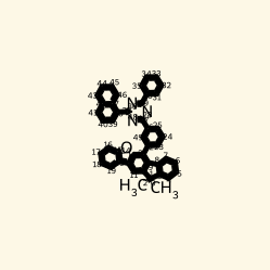 CC1(C)c2ccccc2-c2c1cc1c(oc3ccccc31)c2-c1cccc(-c2nc(-c3ccccc3)nc(-c3cccc4ccccc34)n2)c1